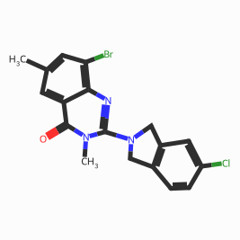 Cc1cc(Br)c2nc(N3Cc4ccc(Cl)cc4C3)n(C)c(=O)c2c1